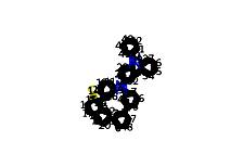 c1ccc(-c2cccc(N(c3ccc4sc5ccc6ccccc6c5c4c3)c3ccc4c(c3)c3ccccc3n4-c3ccccc3)c2)cc1